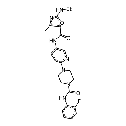 CCNc1nc(C)c(C(=O)Nc2ccc(N3CCN(C(=O)Nc4ccccc4F)CC3)nc2)o1